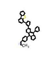 C/C=C\c1ccc(-c2c3ccccc3c(-c3ccccc3)c3cc(-c4cccc(-c5cccc6c5sc5ccccc56)c4)ccc23)cc1